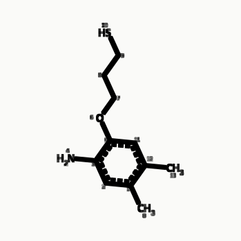 Cc1cc(N)c(OCCCS)cc1C